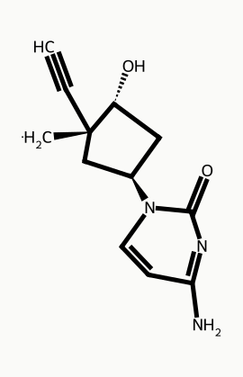 C#C[C@@]1([CH2])C[C@H](n2ccc(N)nc2=O)C[C@H]1O